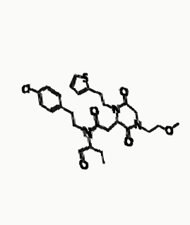 CCC(C=O)N(CCc1ccc(Cl)cc1)C(=O)CC1C(=O)N(CCOC)CC(=O)N1CCc1cccs1